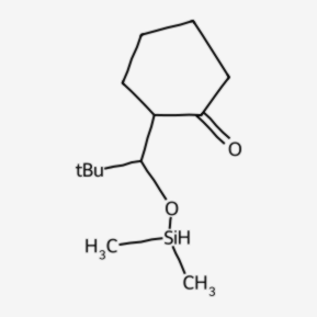 C[SiH](C)OC(C1CCCCC1=O)C(C)(C)C